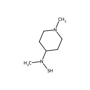 CN1CCC(N(C)S)CC1